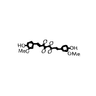 COc1cc(/C=C/C(=O)C(=O)C(=O)C(=O)/C=C/c2ccc(O)c(OC)c2)ccc1O